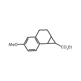 CCOC(=O)C1C2CCc3cc(OC)ccc3C21